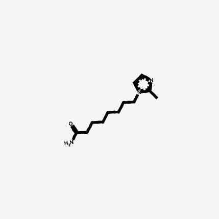 Cc1n[c]cn1CCCCCCCC(N)=O